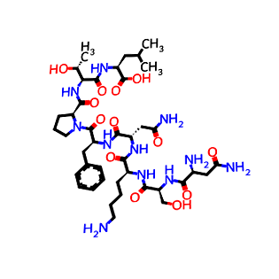 CC(C)C[C@H](NC(=O)[C@@H](NC(=O)[C@@H]1CCCN1C(=O)[C@H](Cc1ccccc1)NC(=O)[C@H](CC(N)=O)NC(=O)[C@H](CCCCN)NC(=O)[C@H](CO)NC(=O)[C@@H](N)CC(N)=O)[C@@H](C)O)C(=O)O